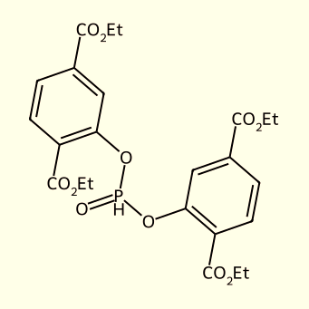 CCOC(=O)c1ccc(C(=O)OCC)c(O[PH](=O)Oc2cc(C(=O)OCC)ccc2C(=O)OCC)c1